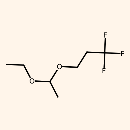 C[CH]OC(C)OCCC(F)(F)F